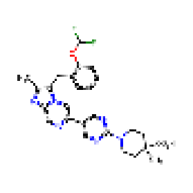 Cc1nc2cnc(-c3cnc(N4CCC(C)(C(=O)O)CC4)nc3)cn2c1Cc1ccccc1OC(F)F